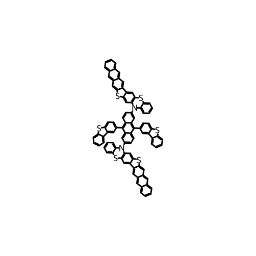 c1ccc2c(c1)Sc1cc3c(cc1N2c1ccc2c(-c4ccc5sc6ccccc6c5c4)c4cc(N5c6ccccc6Sc6cc7c(cc65)sc5cc6cc8ccccc8cc6cc57)ccc4c(-c4ccc5sc6ccccc6c5c4)c2c1)sc1cc2cc4ccccc4cc2cc13